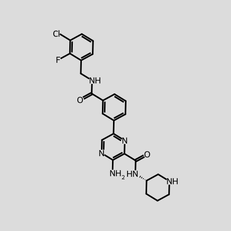 Nc1ncc(-c2cccc(C(=O)NCc3cccc(Cl)c3F)c2)nc1C(=O)N[C@H]1CCCNC1